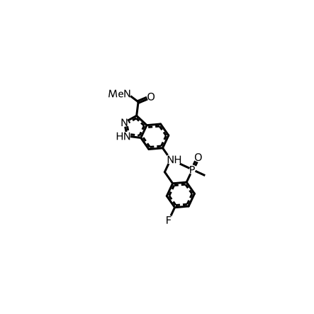 CNC(=O)c1n[nH]c2cc(NCc3cc(F)ccc3P(C)(C)=O)ccc12